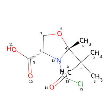 CC(C)(C)[C@@]1(C)OC[C@@H](C(=O)O)N1C(=O)Cl